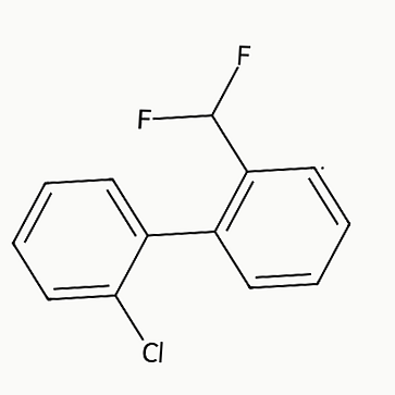 FC(F)c1[c]cccc1-c1ccccc1Cl